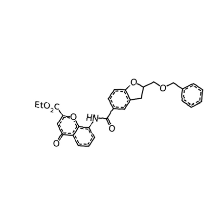 CCOC(=O)c1cc(=O)c2cccc(NC(=O)c3ccc4c(c3)CC(COCc3ccccc3)O4)c2o1